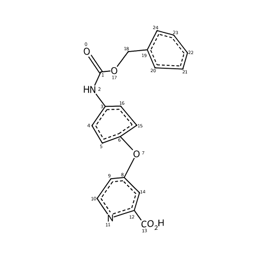 O=C(Nc1ccc(Oc2ccnc(C(=O)O)c2)cc1)OCc1ccccc1